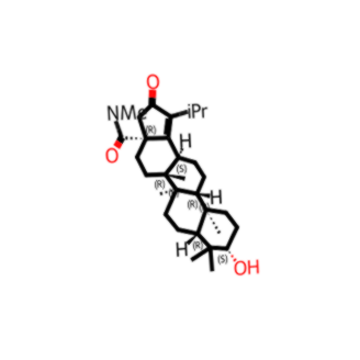 CNC(=O)[C@@]12CC[C@]3(C)[C@H](CC[C@@H]4[C@@]5(C)CC[C@H](O)C(C)(C)[C@@H]5CC[C@]43C)C1=C(C(C)C)C(=O)C2